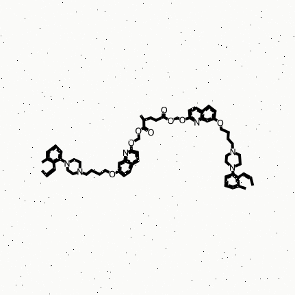 C/C=C\c1c(C)cccc1N1CCN(CCCCOc2ccc3ccc(OCOC(=O)CCC(C)C(=O)OCOc4ccc5ccc(OCCCCN6CCN(c7cccc(C)c7/C=C\C)CC6)cc5n4)nc3c2)CC1